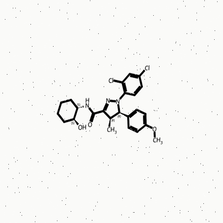 COc1ccc([C@H]2[C@@H](C)C(C(=O)N[C@H]3CCCC[C@@H]3O)=NN2c2ccc(Cl)cc2Cl)cc1